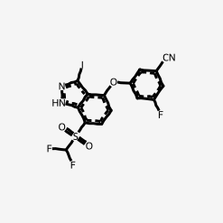 N#Cc1cc(F)cc(Oc2ccc(S(=O)(=O)C(F)F)c3[nH]nc(I)c23)c1